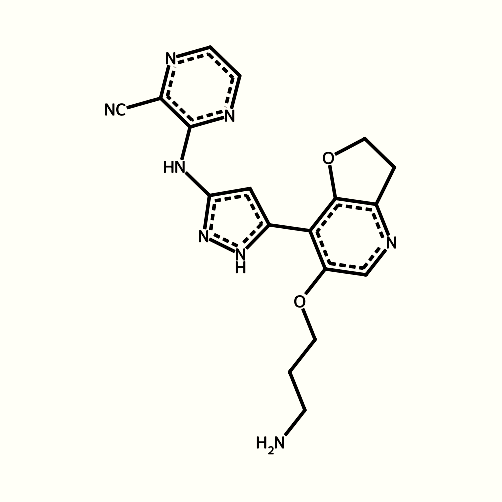 N#Cc1nccnc1Nc1cc(-c2c(OCCCN)cnc3c2OCC3)[nH]n1